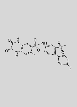 Cc1cc2[nH]c(=O)c(=O)[nH]c2cc1S(=O)(=O)Nc1ccc(-c2ccc(F)cc2)c(S(C)(=O)=O)c1